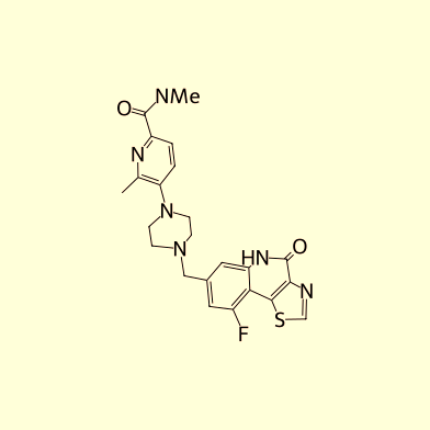 CNC(=O)c1ccc(N2CCN(Cc3cc(F)c4c(c3)[nH]c(=O)c3ncsc34)CC2)c(C)n1